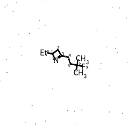 CCC1CC(CCC(C)(C)F)=N1